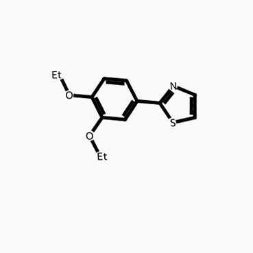 CCOc1ccc(-c2nccs2)cc1OCC